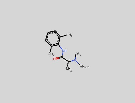 CCCCCN(C)C(C)C(=O)Nc1c(C)cccc1C